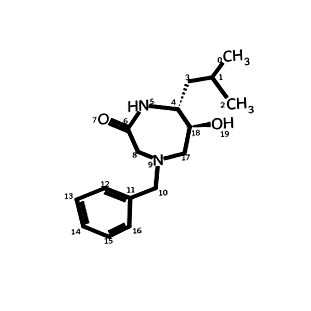 CC(C)C[C@H]1NC(=O)CN(Cc2ccccc2)C[C@@H]1O